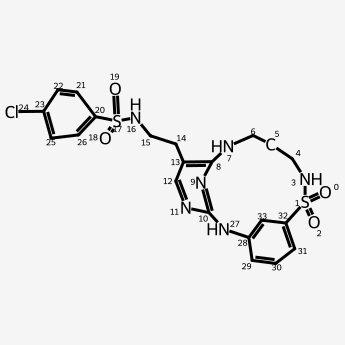 O=S1(=O)NCCCNc2nc(ncc2CCNS(=O)(=O)c2ccc(Cl)cc2)Nc2cccc1c2